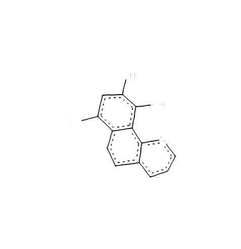 Cc1cc(C)c2ccc3cccnc3c2c1O